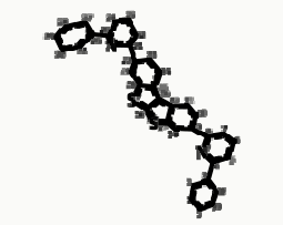 c1ccc(-c2cccc(-c3ccc4c(c3)sc3sc5cc(-c6cccc(-c7ccccc7)n6)ccc5c34)n2)cc1